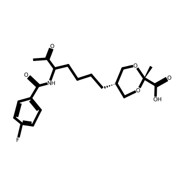 CC(=O)C(CCCC[C@H]1CO[C@@](C)(C(=O)O)OC1)NC(=O)c1ccc(F)cc1